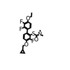 CCOc1ccc(-c2ccc(OCC3CC3)c(F)c2SC(=O)N(C)C)c(F)c1F